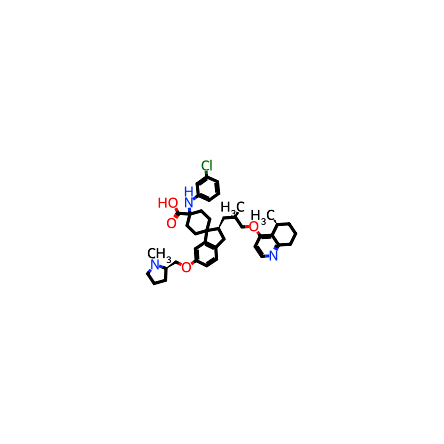 C[C@@H](COc1ccnc2c1[C@H](C)CCC2)C[C@H]1Cc2ccc(OC[C@H]3CCCN3C)cc2C12CCC(Nc1cccc(Cl)c1)(C(=O)O)CC2